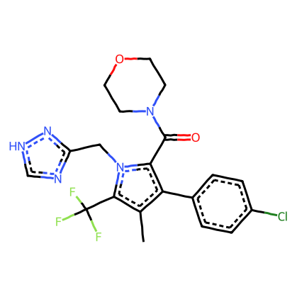 Cc1c(-c2ccc(Cl)cc2)c(C(=O)N2CCOCC2)n(Cc2nc[nH]n2)c1C(F)(F)F